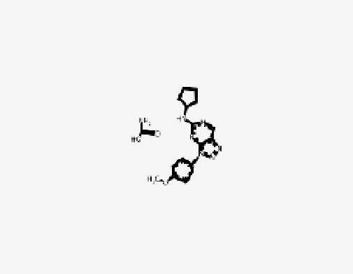 COc1ccc(-n2nnc3cnc(NC4CCCC4)nc32)cc1.NC(=O)O